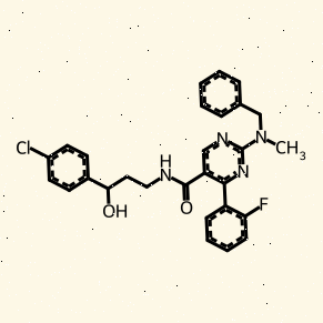 CN(Cc1ccccc1)c1ncc(C(=O)NCCC(O)c2ccc(Cl)cc2)c(-c2ccccc2F)n1